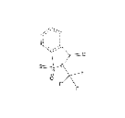 O=C1c2ccccc2S(=O)(=S)N1C(F)(F)F